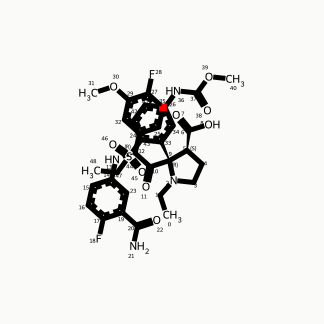 CCN1CC[C@H](C(=O)O)[C@]1(C(=O)[C@H](Nc1ccc(F)c(C(N)=O)c1)c1ccc(F)c(OC)c1)c1cc(NC(=O)OC)ccc1S(=O)(=O)CC